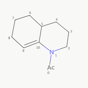 CC(=O)N1CCCC2CCCC=C21